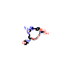 CC(C)(C(=O)O)N1CCOCCOCCOc2cc(ccc2CNCC2CCOCC2)-c2cc(on2)-c2nc(cnc2N)-c2ccc(cc2)S1(=O)=O